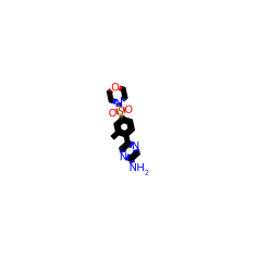 Cc1cc(S(=O)(=O)N2CCOCC2)ccc1-c1cnc(N)cn1